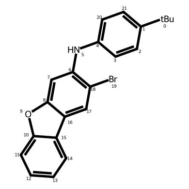 CC(C)(C)c1ccc(Nc2cc3oc4ccccc4c3cc2Br)cc1